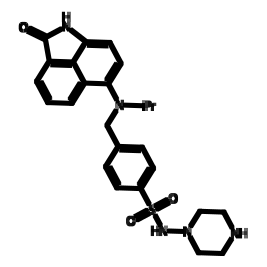 CC(C)N(Cc1ccc(S(=O)(=O)NN2CCNCC2)cc1)c1ccc2c3c(cccc13)C(=O)N2